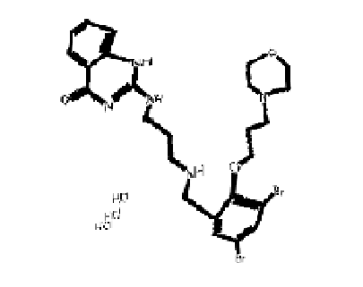 Cl.Cl.Cl.O=c1nc(NCCCNCc2cc(Br)cc(Br)c2OCCCN2CCOCC2)[nH]c2ccccc12